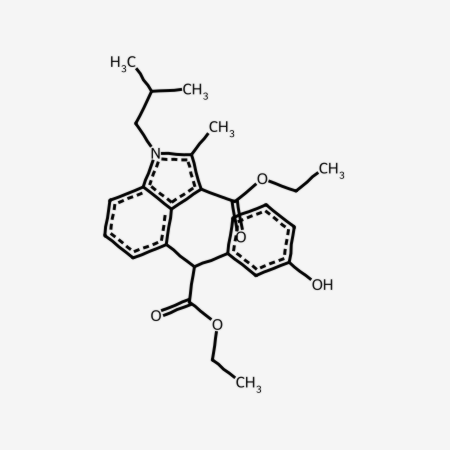 CCOC(=O)c1c(C)n(CC(C)C)c2cccc(C(C(=O)OCC)c3cccc(O)c3)c12